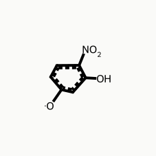 [O]c1ccc([N+](=O)[O-])c(O)c1